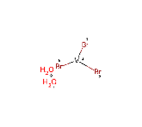 O.O.[Br][V]([Br])[Br]